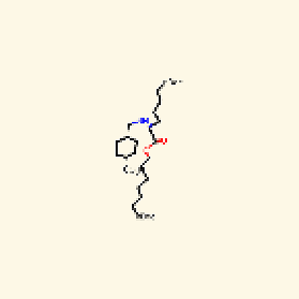 CCCCCCCCCCCCCCCCOC(=O)CCCCCCCCCCCCCCC.NC[C@H]1CC[C@H](C(=O)O)CC1